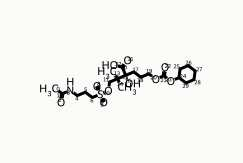 CC(=O)NCCCS(=O)(=O)OCC(C)(C)[C@](O)(CCCOC(=O)OC1CCCCC1)C(=O)O